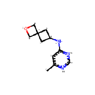 Cc1cc(NC2CC3(COC3)C2)ncn1